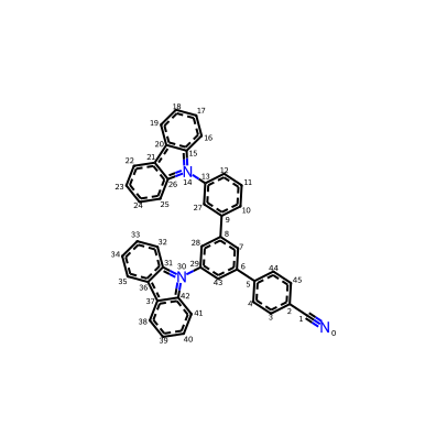 N#Cc1ccc(-c2cc(-c3cccc(-n4c5ccccc5c5ccccc54)c3)cc(-n3c4ccccc4c4ccccc43)c2)cc1